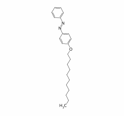 CCCCCCCCCCCOc1ccc(N=Nc2ccccc2)cc1